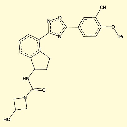 CC(C)Oc1ccc(-c2nc(-c3cccc4c3CCC4NC(=O)N3CC(O)C3)no2)cc1C#N